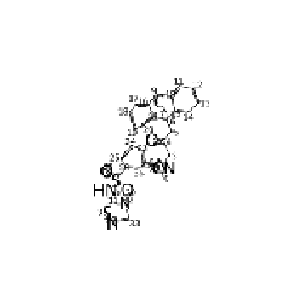 CN(C)CC(CC12CCC(c3ccccc31)c1ccccc12)Oc1ccc(S(=O)(=O)Nc2ncns2)cc1C#N